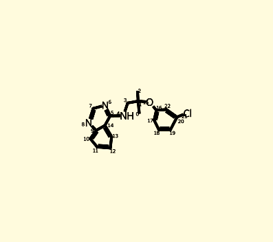 CC(C)(CNc1ncnc2ccccc12)Oc1cccc(Cl)c1